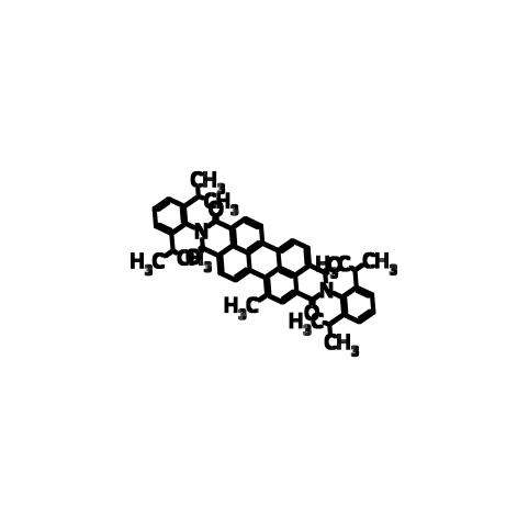 Cc1cc2c3c(ccc4c5ccc6c7c(ccc(c1c34)c75)C(=O)N(c1c(C(C)C)cccc1C(C)C)C6=O)C(=O)N(c1c(C(C)C)cccc1C(C)C)C2=O